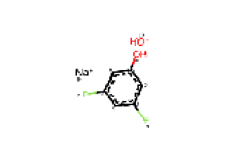 Oc1cc(F)cc(F)c1.[Na+].[OH-]